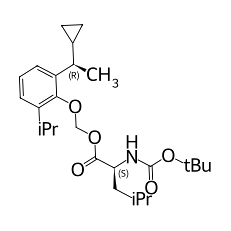 CC(C)C[C@H](NC(=O)OC(C)(C)C)C(=O)OCOc1c(C(C)C)cccc1[C@H](C)C1CC1